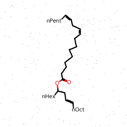 CCCCC/C=C\C/C=C\CCCCCCCC(=O)OC(CC=CCCCCCCCC)CCCCCC